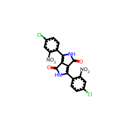 O=C1NC(c2ccc(Cl)cc2[N+](=O)[O-])=C2C(=O)NC(c3ccc(Cl)cc3[N+](=O)[O-])=C12